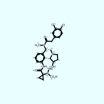 CN(C(=O)Cc1ccc(Cl)c(Cl)c1)[C@H](CN1CCC(O)C1)c1cccc(NC(=O)C2(N(C(=O)O)C(C)(C)C)CC2)c1